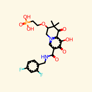 CC1(C)C(=O)c2c(O)c(=O)c(C(=O)NCc3ccc(F)cc3F)cn2CC1OCCP(=O)(O)O